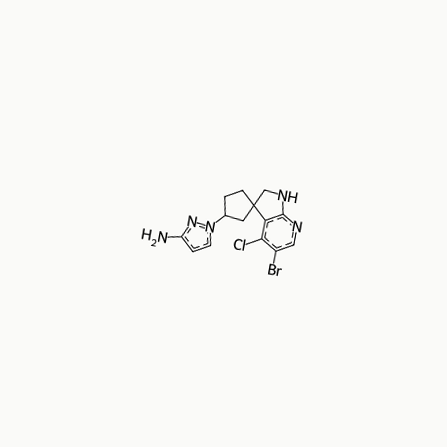 Nc1ccn(C2CCC3(CNc4ncc(Br)c(Cl)c43)C2)n1